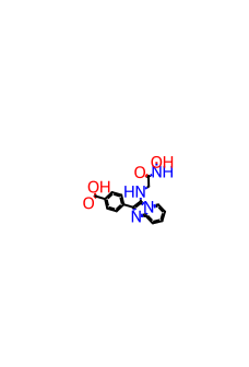 O=C(CNc1c(-c2ccc(C(=O)O)cc2)nc2ccccn12)NO